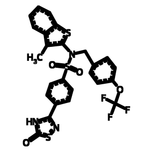 Cc1c(N(Cc2ccc(OC(F)(F)F)cc2)S(=O)(=O)c2ccc(-c3nsc(=O)[nH]3)cc2)sc2ccccc12